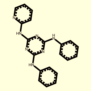 c1ccc(Nc2nc(Nc3ccccc3)nc(Nc3ccccn3)n2)cc1